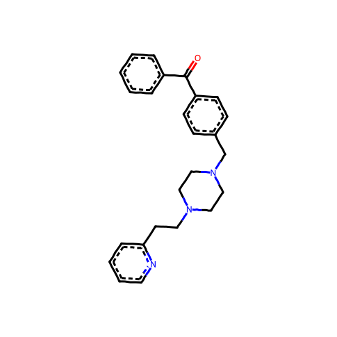 O=C(c1ccccc1)c1ccc(CN2CCN(CCc3ccccn3)CC2)cc1